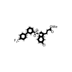 COC(=O)CCc1cn(S(=O)(=O)c2cccc(-c3ccc(C(F)(F)F)cc3)c2)c2ccc(Cl)cc12